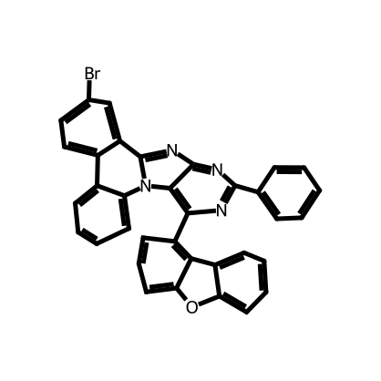 Brc1ccc2c3ccccc3n3c(nc4nc(-c5ccccc5)nc(-c5cccc6oc7ccccc7c56)c43)c2c1